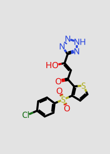 O=C(C=C(O)c1nn[nH]n1)c1sccc1S(=O)(=O)c1ccc(Cl)cc1